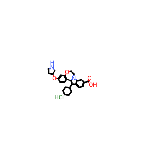 Cl.O=C(O)c1ccc2c(C3CCCCC3)c3n(c2c1)CCOc1cc(O[C@H]2CCNC2)ccc1-3